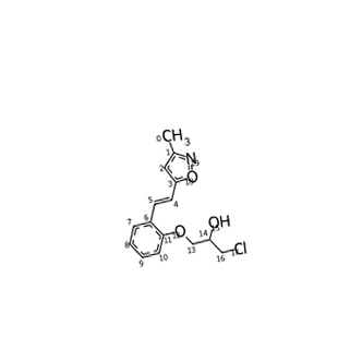 Cc1cc(/C=C/c2ccccc2OCC(O)CCl)on1